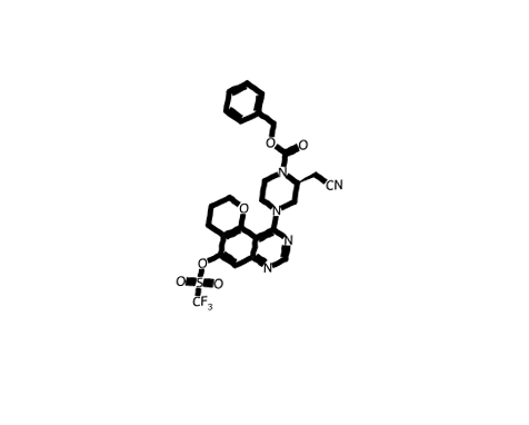 N#CC[C@H]1CN(c2ncnc3cc(OS(=O)(=O)C(F)(F)F)c4c(c23)OCCC4)CCN1C(=O)OCc1ccccc1